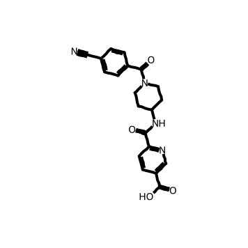 N#Cc1ccc(C(=O)N2CCC(NC(=O)c3ccc(C(=O)O)cn3)CC2)cc1